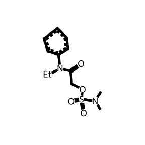 CCN(C(=O)COS(=O)(=O)N(C)C)c1ccccc1